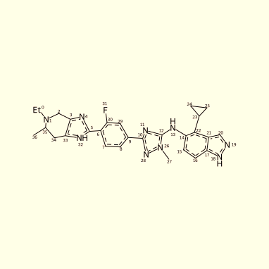 CCN1Cc2nc(-c3ccc(-c4nc(Nc5ccc6[nH]ncc6c5C5CC5)n(C)n4)cc3F)[nH]c2CC1C